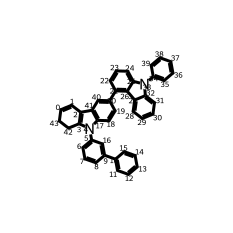 C1=Cc2c(n(-c3cccc(-c4ccccc4)c3)c3ccc(-c4cccc5c4c4ccccc4n5-c4ccccc4)cc23)CC1